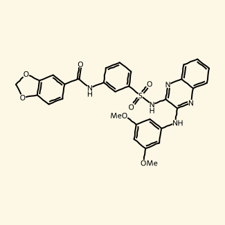 COc1cc(Nc2nc3ccccc3nc2NS(=O)(=O)c2cccc(NC(=O)c3ccc4c(c3)OCO4)c2)cc(OC)c1